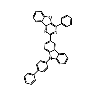 c1ccc(-c2ccc(-n3c4ccccc4c4cc(-c5nc(-c6ccccc6)c6oc7ccccc7c6n5)ccc43)cc2)cc1